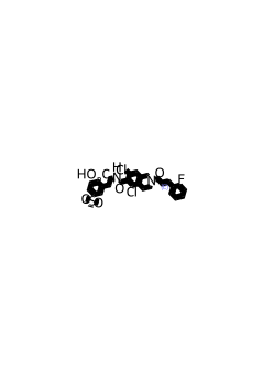 CS(=O)(=O)c1cccc(C[C@H](NC(=O)c2c(Cl)cc3c(c2Cl)CCN(C(=O)/C=C/c2ccccc2F)C3)C(=O)O)c1